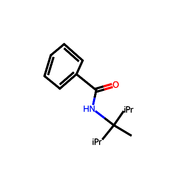 CC(C)C(C)(NC(=O)c1ccccc1)C(C)C